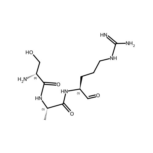 C[C@H](NC(=O)[C@H](N)CO)C(=O)N[C@H](C=O)CCCNC(=N)N